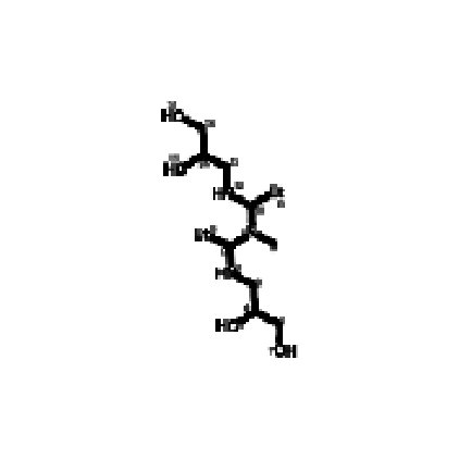 CCC(NCC(O)CO)N(C)C(CC)NCC(O)CO